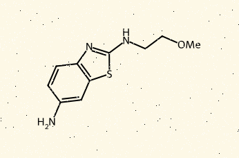 COCCNc1nc2[c]cc(N)cc2s1